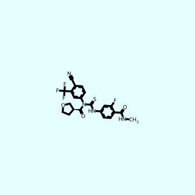 CNC(=O)c1ccc(NC(=S)N(C(=O)[C@H]2CCOC2)c2ccc(C#N)c(C(F)(F)F)c2)cc1F